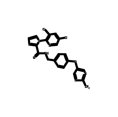 O=C(NCc1ccc(Oc2cnc(C(F)(F)F)nc2)cc1)c1nccn1-c1ncc(Cl)cc1Cl